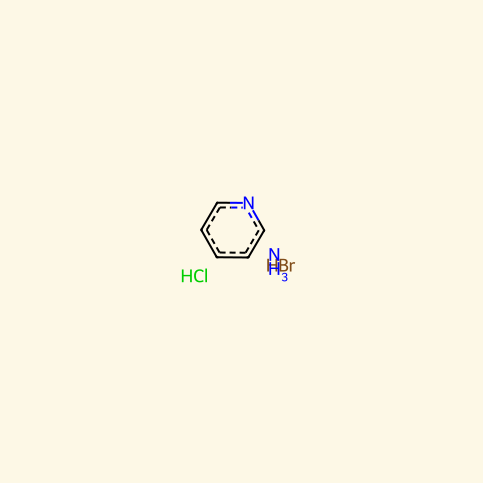 Br.Cl.N.c1ccncc1